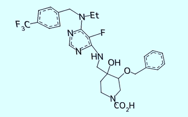 CCN(Cc1ccc(C(F)(F)F)cc1)c1ncnc(NCC2(O)CCN(C(=O)O)CC2OCc2ccccc2)c1F